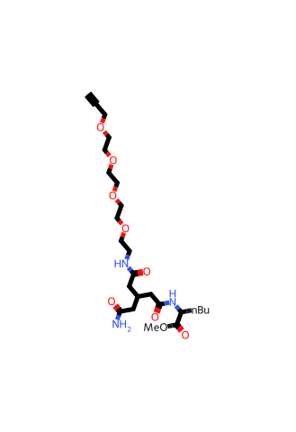 C#CCOCCOCCOCCOCCNC(=O)CC(CC(N)=O)CC(=O)NC(CCCC)C(=O)OC